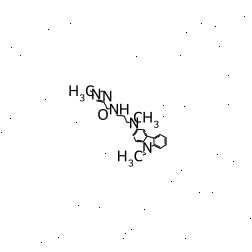 CCn1c2ccccc2c2cc(N(C)CCCNC(=O)c3cn(C)cn3)ccc21